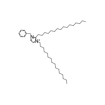 CCCCCCCCCCCCCCCCc1n(Cc2ccccc2)cc[n+]1CCCCCCCCCCCCCCCC